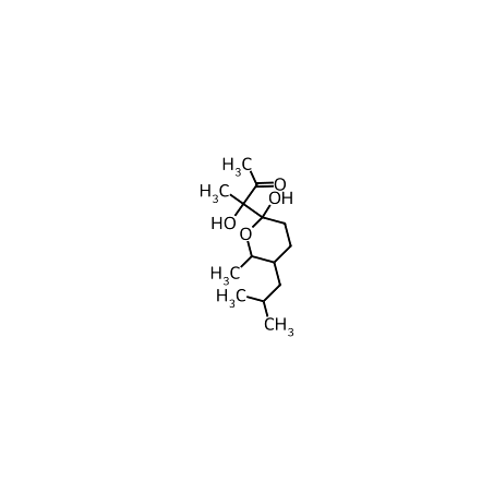 CC(=O)C(C)(O)C1(O)CCC(CC(C)C)C(C)O1